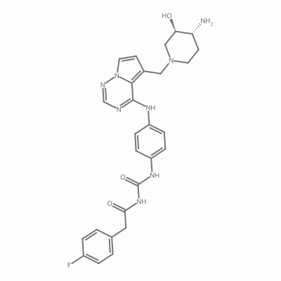 N[C@@H]1CCN(Cc2ccn3ncnc(Nc4ccc(NC(=O)NC(=O)Cc5ccc(F)cc5)cc4)c23)C[C@H]1O